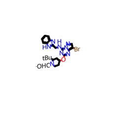 CC(C)(C)C1CC(Oc2nc(NCc3nc4ccccc4[nH]3)n3ncc(Br)c3n2)CCN1[C]=O